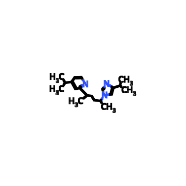 CC(C)c1ccnc(C(C)CCC(C)n2cnc(C(C)C)c2)c1